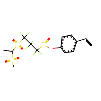 C=Cc1ccc(OS(=O)(=O)C(F)(F)C(F)(F)C(F)(F)S(=O)(=O)C(CC)S(=O)(=O)C(F)(F)F)cc1